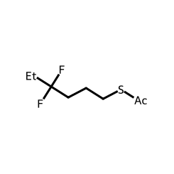 CCC(F)(F)CCCSC(C)=O